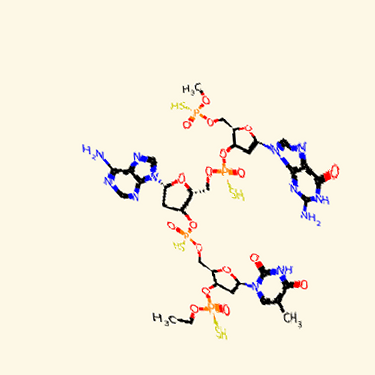 CCO[P@](=O)(S)OC1C[C@H](n2cc(C)c(=O)[nH]c2=O)O[C@@H]1CO[P@](=O)(S)OC1C[C@H](n2cnc3c(N)ncnc32)O[C@@H]1CO[P@@](=O)(S)OC1C[C@H](n2cnc3c(=O)[nH]c(N)nc32)O[C@@H]1CO[P@](=O)(S)OC